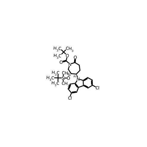 CC(C)(C)OC(=O)N1C[C@@H](O[Si](C)(C)C(C)(C)C)[C@H](n2c3ccc(Cl)cc3c3cc(Cl)ccc32)CCC1=O